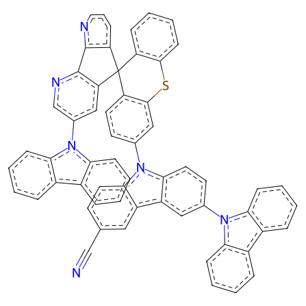 N#Cc1ccc2c(c1)c1cc(-n3c4ccccc4c4ccccc43)ccc1n2-c1ccc2c(c1)Sc1ccccc1C21c2cccnc2-c2ncc(-n3c4ccccc4c4ccccc43)cc21